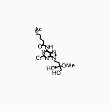 C#CC(CO)(CCn1cnc2c(NC(=O)CCCSC(C)=O)nc(Cl)nc21)OC